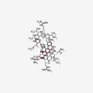 CSCC[C@H](NC(=O)[C@H](C)NC(=O)[C@@H](NC(=O)[C@H](CCCNC(=N)N)NC(=O)[C@H](Cc1ccc(O)cc1)NC(=O)[C@H](C)N)[C@@H](C)O)C(=O)N[C@@H](CCCCN)C(=O)N[C@@H](CC(C)C)C(=O)N[C@@H](CCCNC(=N)N)C(=O)N[C@@H](CCCNC(=N)N)C(=O)N[C@@H](CC(C)C)C(=O)N[C@@H](CCC(N)=O)C(=O)N[C@@H](CCCCN)C(=O)N[C@@H](C)C(=O)N[C@@H](CC(C)C)C(=O)O